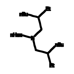 CCCCCCN(CC(CC)CCCC)CC(CC)CCCC